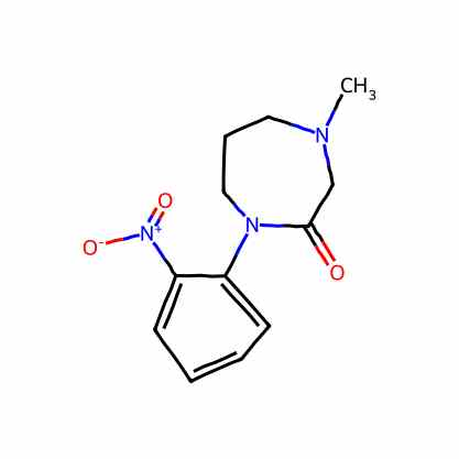 CN1CCCN(c2ccccc2[N+](=O)[O-])C(=O)C1